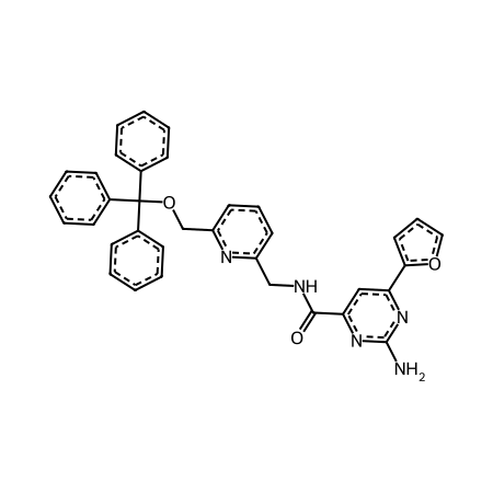 Nc1nc(C(=O)NCc2cccc(COC(c3ccccc3)(c3ccccc3)c3ccccc3)n2)cc(-c2ccco2)n1